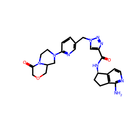 Nc1nccc2c1CC[C@H]2NC(=O)c1cn(Cc2ccc(N3CCN4C(=O)COCC4C3)nc2)nn1